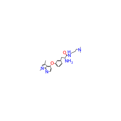 Cc1cn(C)c2nccc(Oc3cccc(CC(N)C(=O)NCCCN(C)C)c3)c12